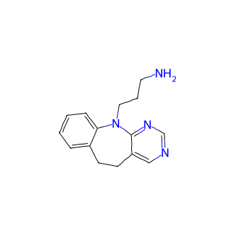 NCCCN1c2ccccc2CCc2cncnc21